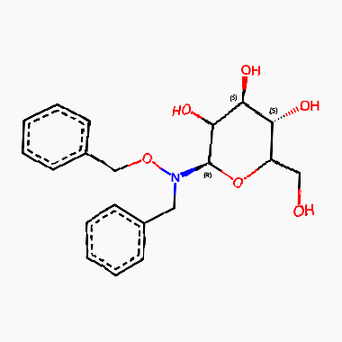 OCC1O[C@@H](N(Cc2ccccc2)OCc2ccccc2)C(O)[C@@H](O)[C@@H]1O